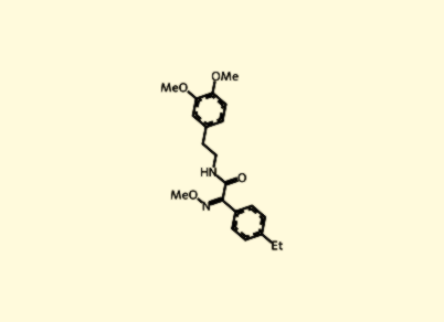 CCc1ccc(/C(=N/OC)C(=O)NCCc2ccc(OC)c(OC)c2)cc1